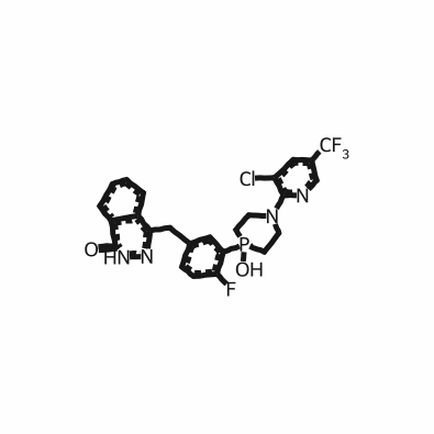 O=c1[nH]nc(Cc2ccc(F)c([P]3(O)CCN(c4ncc(C(F)(F)F)cc4Cl)CC3)c2)c2ccccc12